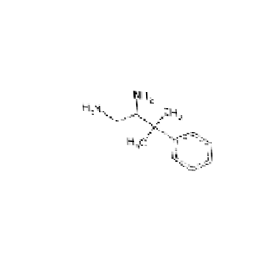 CC(C)([C](N)CN)c1ccccc1